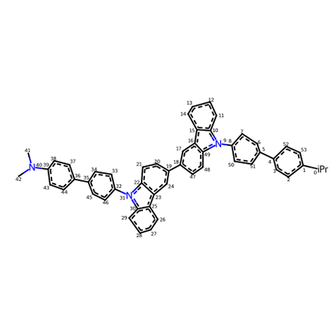 CC(C)c1ccc(-c2ccc(-n3c4ccccc4c4cc(-c5ccc6c(c5)c5ccccc5n6-c5ccc(-c6ccc(N(C)C)cc6)cc5)ccc43)cc2)cc1